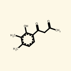 CC(=O)CC(=O)c1ccc(C)c(C)c1O